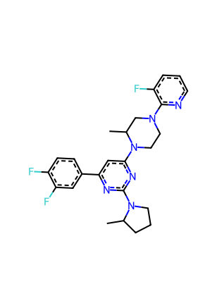 CC1CN(c2ncccc2F)CCN1c1cc(-c2ccc(F)c(F)c2)nc(N2CCCC2C)n1